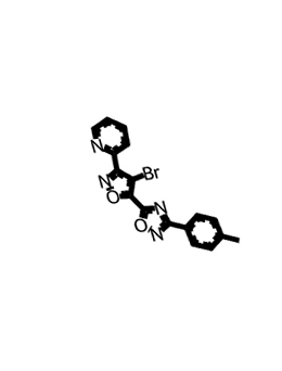 Cc1ccc(-c2noc(-c3onc(-c4ccccn4)c3Br)n2)cc1